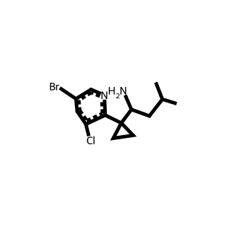 C[C](C)CC(N)C1(c2ncc(Br)cc2Cl)CC1